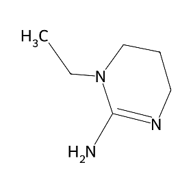 CCN1CCCN=C1N